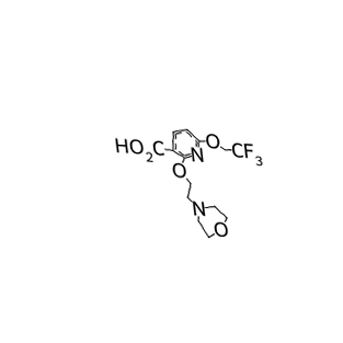 O=C(O)c1ccc(OCC(F)(F)F)nc1OCCN1CCOCC1